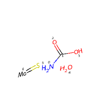 NC(=O)O.O.[S]=[Mo]